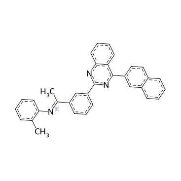 C/C(=N\c1ccccc1C)c1cccc(-c2nc(-c3ccc4ccccc4c3)c3ccccc3n2)c1